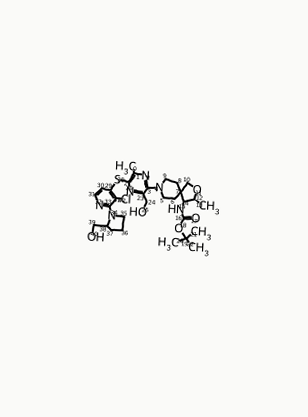 Cc1nc(N2CCC3(CC2)CO[C@@H](C)[C@H]3NC(=O)OC(C)(C)C)c(CO)nc1Sc1ccnc(N2CCCC2CO)c1Cl